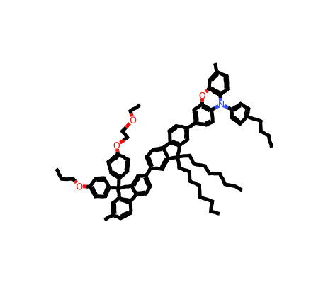 CCCCCCCCC1(CCCCCCCC)c2cc(-c3ccc4c(c3)Oc3cc(C)ccc3N4c3ccc(CCCC)cc3)ccc2-c2ccc(-c3ccc4c(c3)C(c3ccc(OCCC)cc3)(c3ccc(OCCOCC)cc3)c3cc(C)ccc3-4)cc21